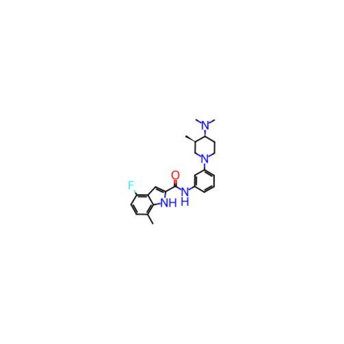 Cc1ccc(F)c2cc(C(=O)Nc3cccc(N4CC[C@H](N(C)C)[C@H](C)C4)c3)[nH]c12